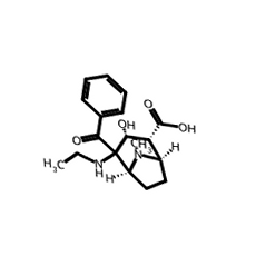 CCNC1(C(=O)c2ccccc2)[C@H](O)[C@H](C(=O)O)[C@H]2CC[C@@H]1N2C